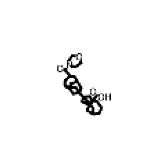 O=C(C1CC2CC3CC(C45CC6CCCC(C(=O)O)(C4)C(C6)C5)(C2)CC3C1)N1CCOCC1